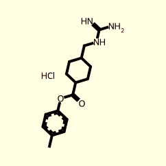 Cc1ccc(OC(=O)C2CCC(CNC(=N)N)CC2)cc1.Cl